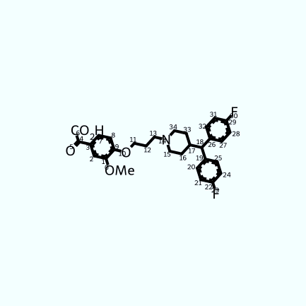 COc1cc(C(=O)C(=O)O)ccc1OCCCN1CCC(C(c2ccc(F)cc2)c2ccc(F)cc2)CC1